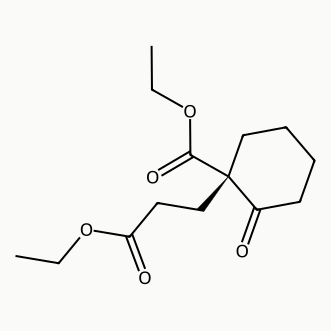 CCOC(=O)CC[C@@]1(C(=O)OCC)CCCCC1=O